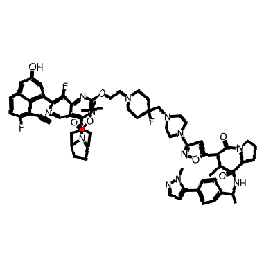 C#Cc1c(F)ccc2cc(O)cc(-c3ncc4c(N5CC6CCC(C5)N6C(=O)OC(C)(C)C)nc(OCCN5CCC(F)(CN6CCN(c7cc(C(C(=O)N8CCCC8C(=O)NC(C)c8ccc(-c9ccnn9C)cc8)C(C)C)on7)CC6)CC5)nc4c3F)c12